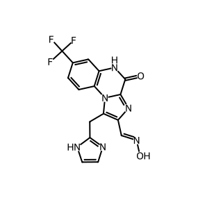 O=c1[nH]c2cc(C(F)(F)F)ccc2n2c(Cc3ncc[nH]3)c(C=NO)nc12